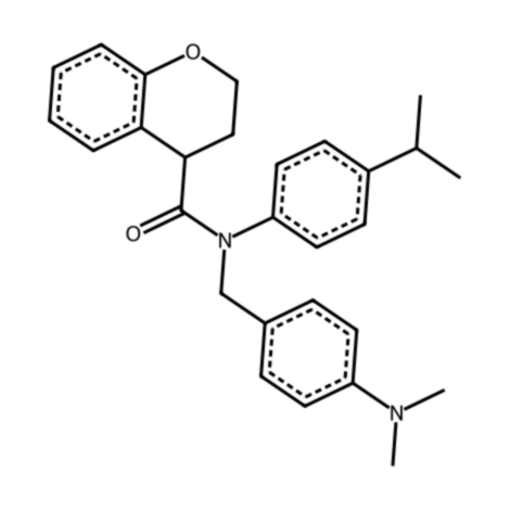 CC(C)c1ccc(N(Cc2ccc(N(C)C)cc2)C(=O)C2CCOc3ccccc32)cc1